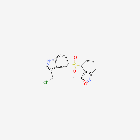 C=CC(c1c(C)noc1C)S(=O)(=O)c1ccc2[nH]cc(CCl)c2c1